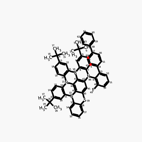 CC(C)(C)c1ccc2c(c1)B1c3cc(C(C)(C)C)ccc3N3c4ccc(C(C)(C)C)cc4B4c5ccccc5Sc5cc(c1c3c54)N2c1c(F)cccc1-c1ccc(-c2ccccc2)cc1